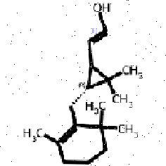 CC1=C(C[C@@H]2C(/C=C/O)C2(C)C)C(C)(C)CCC1